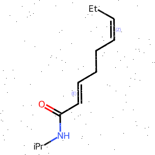 CC/C=C\CC/C=C/C(=O)NC(C)C